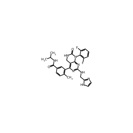 Cc1ccc(C(=O)NC(C)C)cc1-c1nc(NCc2ncc[nH]2)nc2c1CNC(=O)N2c1c(F)cccc1F